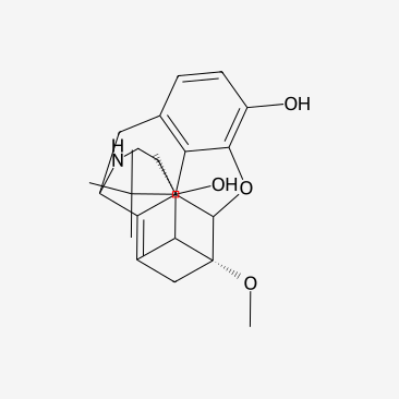 CO[C@@]12CC(=C3C4Cc5ccc(O)c6c5C3(CCN4)C1O6)C2[C@](C)(O)C(C)(C)C